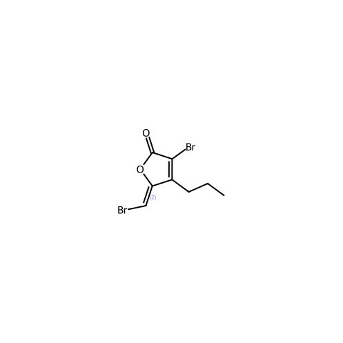 CCCC1=C(Br)C(=O)O/C1=C\Br